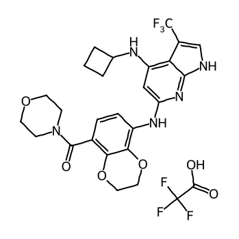 O=C(O)C(F)(F)F.O=C(c1ccc(Nc2cc(NC3CCC3)c3c(C(F)(F)F)c[nH]c3n2)c2c1OCCO2)N1CCOCC1